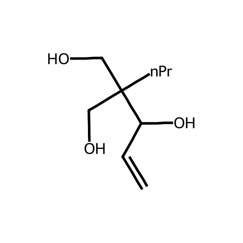 C=CC(O)C(CO)(CO)CCC